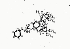 CC(C)(C)NS(=O)(=O)c1cc(CC(=O)NCc2ccccc2)ccc1B1OC(C)(C)C(C)(C)O1